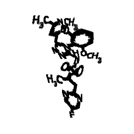 COc1cccc(OC)c1-n1c(NS(=O)(=O)C(C)Cc2ncc(F)cn2)nnc1-c1cc(C)no1